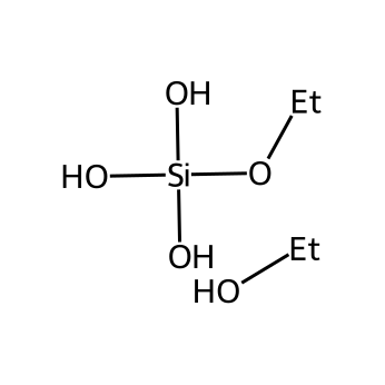 CCO.CCO[Si](O)(O)O